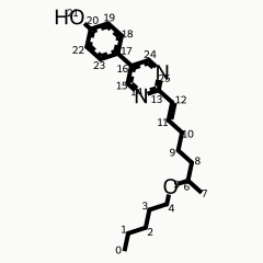 CCCCCOC(C)CCCC=Cc1ncc(-c2ccc(O)cc2)cn1